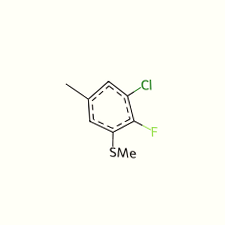 CSc1cc(C)cc(Cl)c1F